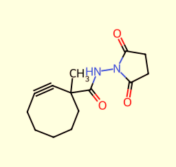 CC1(C(=O)NN2C(=O)CCC2=O)C#CCCCCC1